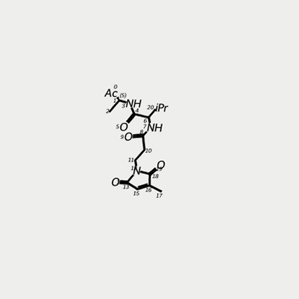 CC(=O)[C@H](C)NC(=O)C(NC(=O)CCN1C(=O)C=C(C)C1=O)C(C)C